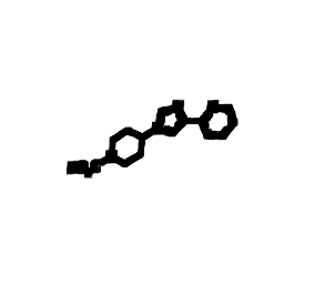 O=C(O)N1CCC(n2cnc(-c3ccccn3)c2)CC1